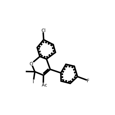 CC(=O)C1=C(c2ccc(F)cc2)c2ccc(Cl)cc2OC1(C)I